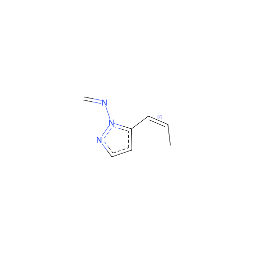 C=Nn1nccc1/C=C\C